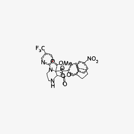 COC(=O)C1(S(=O)(=O)c2ccc3c(c2)CCC3)C(C(=O)OCc2ccc([N+](=O)[O-])cc2)NCCN1c1ccc(C(F)(F)F)cn1